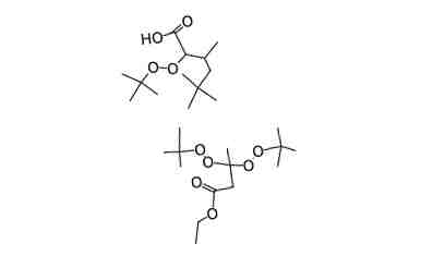 CC(CC(C)(C)C)C(OOC(C)(C)C)C(=O)O.CCOC(=O)CC(C)(OOC(C)(C)C)OOC(C)(C)C